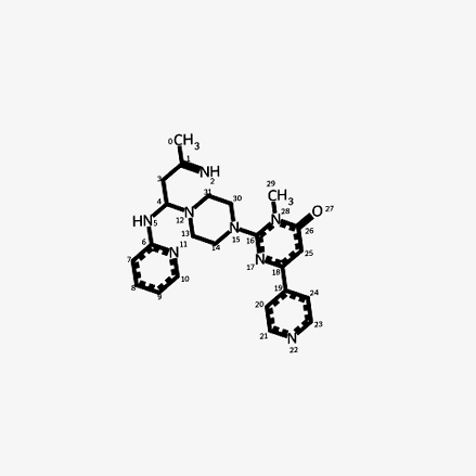 CC(=N)CC(Nc1ccccn1)N1CCN(c2nc(-c3ccncc3)cc(=O)n2C)CC1